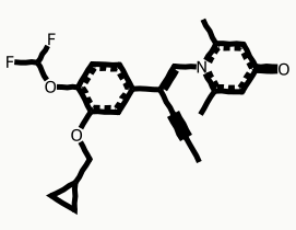 CC#C/C(=C\n1c(C)cc(=O)cc1C)c1ccc(OC(F)F)c(OCC2CC2)c1